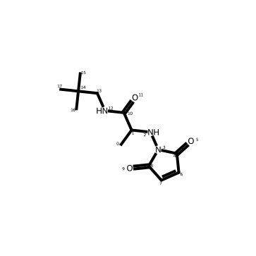 CC(NN1C(=O)C=CC1=O)C(=O)NCC(C)(C)C